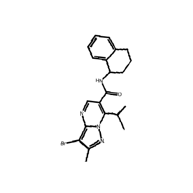 Cc1nn2c(C(C)C)c(C(=O)NC3CCCc4ccccc43)cnc2c1Br